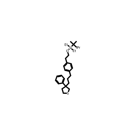 CC[Si](CC)(OCCc1ccc(CCCC2(c3ccccc3)CCSC2)cc1)C(C)(C)C(C)C